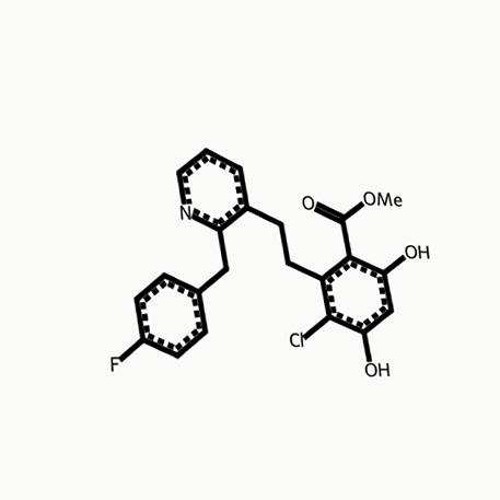 COC(=O)c1c(O)cc(O)c(Cl)c1CCc1cccnc1Cc1ccc(F)cc1